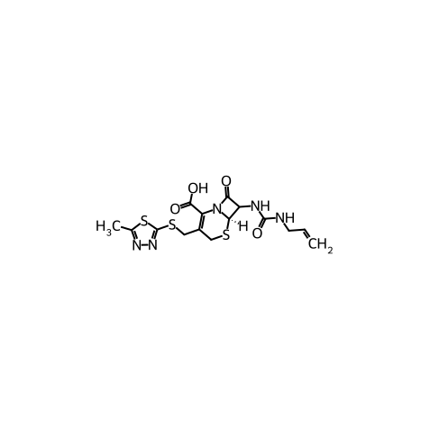 C=CCNC(=O)NC1C(=O)N2C(C(=O)O)=C(CSc3nnc(C)s3)CS[C@H]12